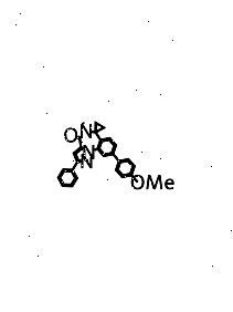 COc1ccc(-c2ccc3c(c2)-n2nc(-c4ccccc4)cc2C(=O)N(C)C32CC2)cc1